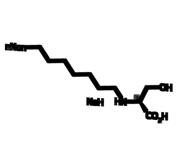 CCCCCCCCCCCCCCCCN[C@@H](CO)C(=O)O.[NaH]